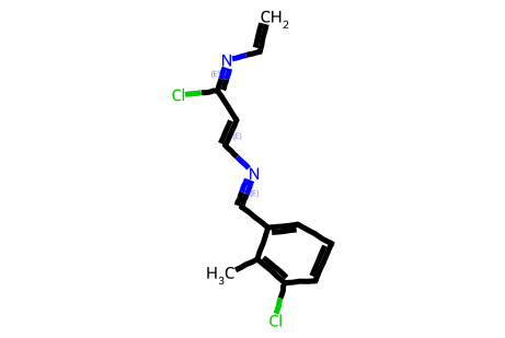 C=C\N=C(Cl)/C=C/N=C/c1cccc(Cl)c1C